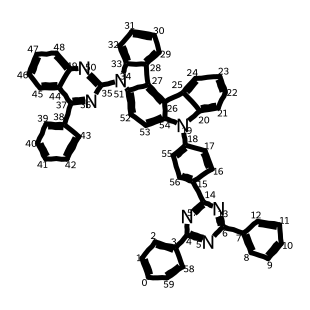 c1ccc(-c2nc(-c3ccccc3)nc(-c3ccc(-n4c5ccccc5c5c6c7ccccc7n(-c7nc(-c8ccccc8)c8ccccc8n7)c6ccc54)cc3)n2)cc1